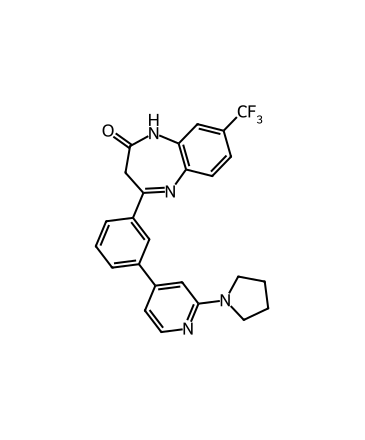 O=C1CC(c2cccc(-c3ccnc(N4CCCC4)c3)c2)=Nc2ccc(C(F)(F)F)cc2N1